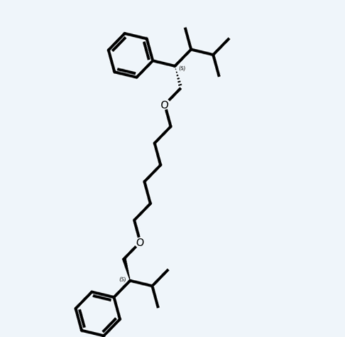 CC(C)C(C)[C@H](COCCCCCCOC[C@H](c1ccccc1)C(C)C)c1ccccc1